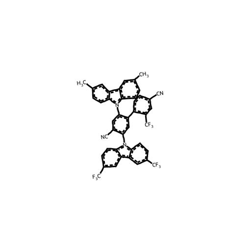 Cc1ccc2c(c1)c1cc(C)ccc1n2-c1cc(C#N)c(-n2c3ccc(C(F)(F)F)cc3c3cc(C(F)(F)F)ccc32)cc1-c1ccc(C#N)cc1C(F)(F)F